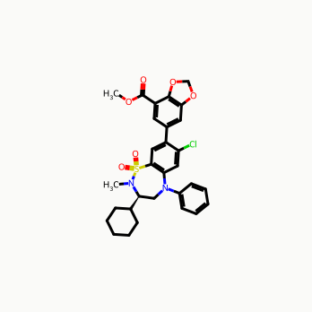 COC(=O)c1cc(-c2cc3c(cc2Cl)N(c2ccccc2)C[C@@H](C2CCCCC2)N(C)S3(=O)=O)cc2c1OCO2